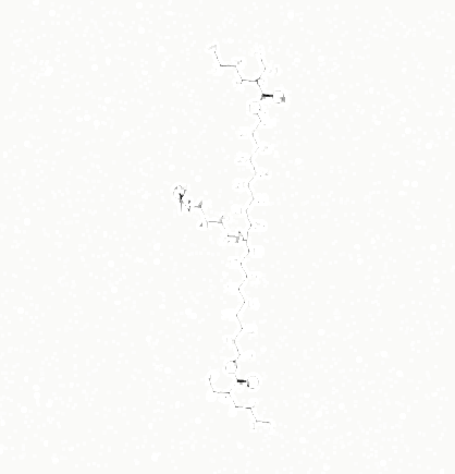 CCCCC(CC)C(=O)OCCCCCCCCCN(CCCCCCCCCOC(=O)C(CC)CCCC)CCCCN=O